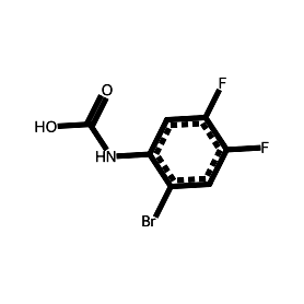 O=C(O)Nc1cc(F)c(F)cc1Br